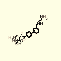 NCCNCc1cccc(-c2ccc(C(=O)N[C@@H](CN)C(=O)NO)cc2)c1